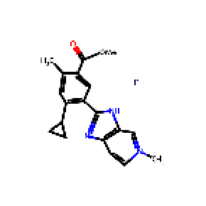 COC(=O)c1cc(-c2nc3cc[n+](C)cc3[nH]2)c(C2CC2)cc1C.[I-]